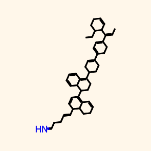 C/C=C(/C1=CC=C(C2=CCC(C3=C4C=CC=CC4C(C4=C5C=CCCC5C(/C=C/CCC=N)C=C4)CC3)CC2)CC1)C1C=CCCC1CC